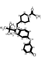 CC(=O)N1CCC(Cn2c(C(C)(C)C)nc3cc(Sc4cccc(Cl)c4)ccc32)CC1